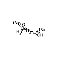 CC(C)(C)OCC(CO)CCCCCCN1C(=O)[C@H](COC(C)(C)C)CC1(C)C